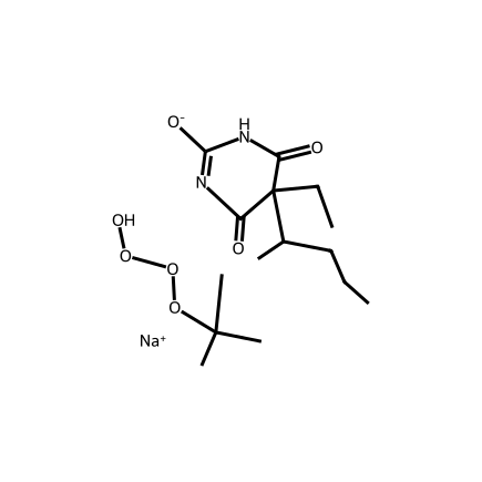 CC(C)(C)OOOO.CCCC(C)C1(CC)C(=O)N=C([O-])NC1=O.[Na+]